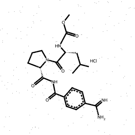 COC(=O)N[C@H](CC(C)C)C(=O)N1CCC[C@H]1C(=O)NC(=O)c1ccc(C(=N)N)cc1.Cl